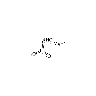 [MgH+].[OH-].[O]=[La](=[O])=[O]